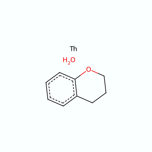 O.[Th].c1ccc2c(c1)CCCO2